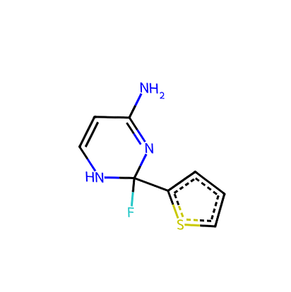 NC1=NC(F)(c2cccs2)NC=C1